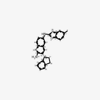 Cc1ccc2oc(Nc3ccc4nc(N)c([C@@H]5CCc6ccccc65)cc4c3)nc2c1